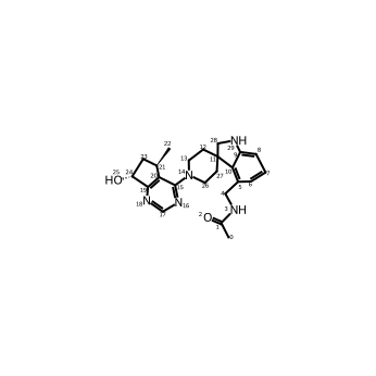 CC(=O)NCc1cccc2c1C1(CCN(c3ncnc4c3[C@H](C)C[C@H]4O)CC1)CN2